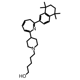 CC1(C)CCC(C)(C)c2cc(C3=NC(C4CCN(CCCCCO)CC4)=CC=CC3)ccc21